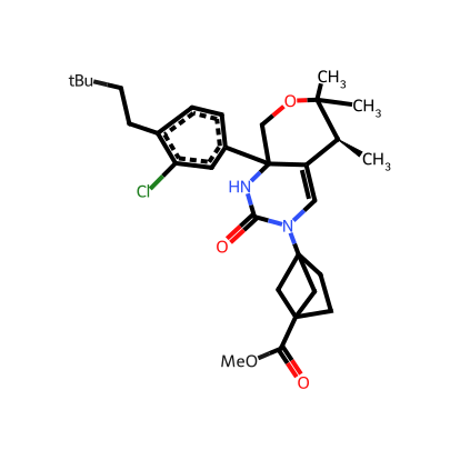 COC(=O)C12CCC(N3C=C4[C@H](C)C(C)(C)OCC4(c4ccc(CCC(C)(C)C)c(Cl)c4)NC3=O)(C1)C2